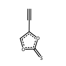 C#Cc1coc(=S)o1